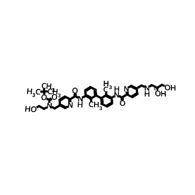 Cc1c(NC(=O)c2ccc(CNC[C@H](O)CO)cn2)cccc1-c1cccc(NC(=O)c2ccc(CN(CCO)C(=O)OC(C)(C)C)cn2)c1C